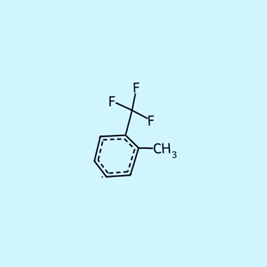 Cc1c[c]ccc1C(F)(F)F